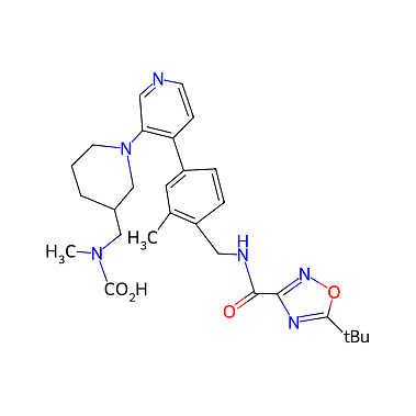 Cc1cc(-c2ccncc2N2CCCC(CN(C)C(=O)O)C2)ccc1CNC(=O)c1noc(C(C)(C)C)n1